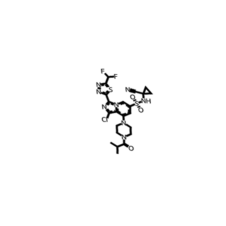 CC(C)C(=O)N1CCN(c2cc(S(=O)(=O)NC3(C#N)CC3)cn3c(-c4nnc(C(F)F)s4)nc(Cl)c23)CC1